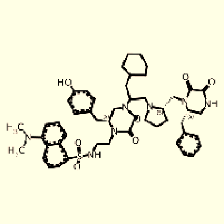 CN(C)c1cccc2c(S(=O)(=O)NCCN3C(=O)C(=O)N(C(CC4CCCCC4)CN4CCC[C@H]4CN4C(=O)C(=O)NC[C@@H]4Cc4ccccc4)C[C@@H]3Cc3ccc(O)cc3)cccc12